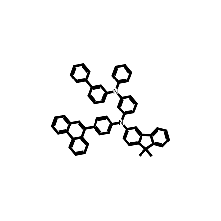 CC1(C)c2ccccc2-c2cc(N(c3ccc(-c4cc5ccccc5c5ccccc45)cc3)c3cccc(N(c4ccccc4)c4cccc(-c5ccccc5)c4)c3)ccc21